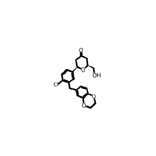 O=C1C[C@@H](CO)O[C@@H](c2ccc(Cl)c(Cc3ccc4c(c3)OCCO4)c2)C1